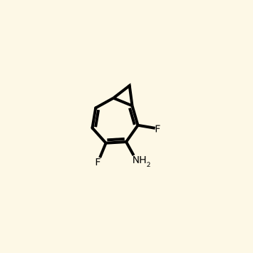 NC1=C(F)C=CC2CC2=C1F